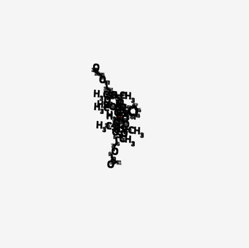 C[SiH]1O[Si](C)(CCCOCC2CO2)O[SiH](C)O[Si](C)(O[Si](C)(O[Si]2(C)O[SiH](C)O[Si](C)(CCCOCC3CO3)O[SiH](C)O2)c2ccccc2)O1